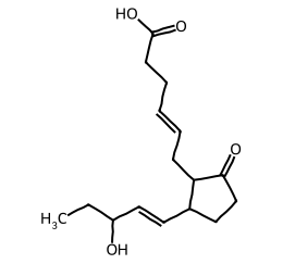 CCC(O)/C=C/C1CCC(=O)C1C/C=C/CCC(=O)O